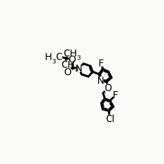 CC(C)(C)OC(=O)N1CC=C(c2nc(OCc3ccc(Cl)cc3F)ccc2F)CC1